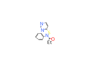 CCC(=O)N(Sc1ccncn1)c1ccccc1